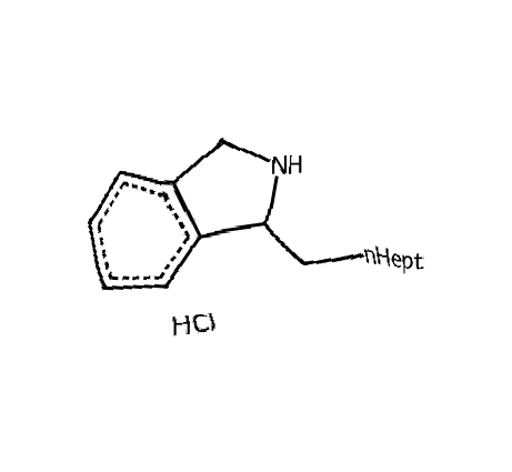 CCCCCCCCC1NCc2ccccc21.Cl